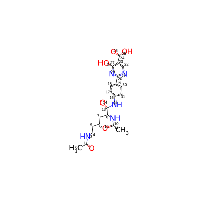 CC(=O)NCCCCC(NC(C)=O)C(=O)Nc1ccc(-c2ncc(C(=O)O)c(O)n2)cc1